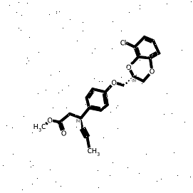 CC#C[C@@H](CC(=O)OC)c1ccc(OC[C@H]2COc3cccc(Cl)c3O2)cc1